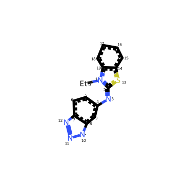 CCn1c(=Nc2ccc3c(c2)[N]N=N3)sc2ccccc21